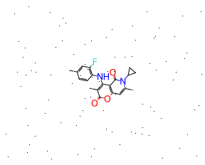 Cc1ccc(Nc2c(C)c(=O)oc3cc(C)n(C4CC4)c(=O)c23)c(F)c1